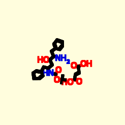 CC(C)(C)OC(=O)NC(Cc1ccccc1)CC(O)C(N)Cc1ccccc1.O=C(O)/C=C/C(=O)O